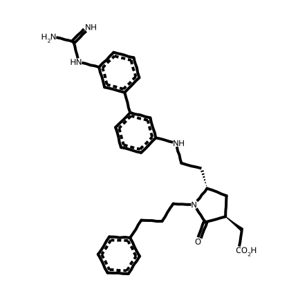 N=C(N)Nc1cccc(-c2cccc(NCC[C@@H]3C[C@@H](CC(=O)O)C(=O)N3CCCc3ccccc3)c2)c1